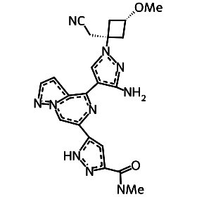 CNC(=O)c1cc(-c2cn3nccc3c(-c3cn([C@]4(CC#N)C[C@@H](OC)C4)nc3N)n2)[nH]n1